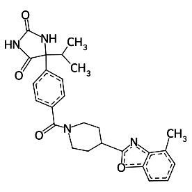 Cc1cccc2oc(C3CCN(C(=O)c4ccc(C5(C(C)C)NC(=O)NC5=O)cc4)CC3)nc12